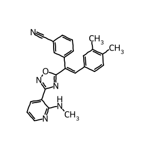 CNc1ncccc1-c1noc(C(=Cc2ccc(C)c(C)c2)c2cccc(C#N)c2)n1